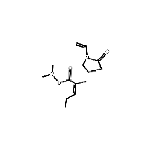 C=CN1CCCC1=O.CCC=C(C)C(=O)ON(C)C